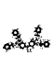 CCC(C1CCC(OOC(C)(C)c2ccccc2)(OOC(C)(C)c2ccccc2)CC1)C1CCC(OOC(C)(C)c2ccccc2)(OOC(C)(C)c2ccccc2)CC1